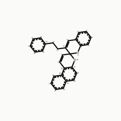 C1=CC2(Oc3ccccc3C=C2CCc2ccccc2)Oc2ccc3ccccc3c21